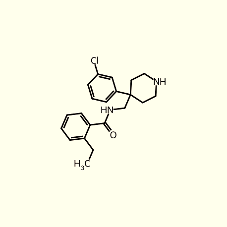 CCc1ccccc1C(=O)NCC1(c2cccc(Cl)c2)CCNCC1